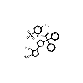 CC1=[N+](C)CCN1[C@H]1CC[C@@H](C(C(N)=O)(c2ccccc2)c2ccccc2)C1.Cc1ccc(S(=O)(=O)[O-])cc1